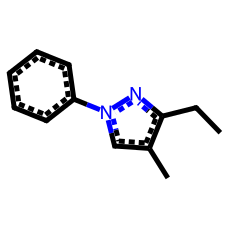 CCc1nn(-c2ccccc2)cc1C